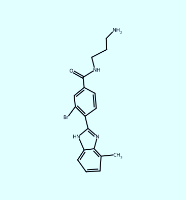 Cc1cccc2[nH]c(-c3ccc(C(=O)NCCCN)cc3Br)nc12